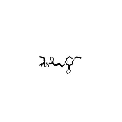 CCC(C)NC(=O)/C=C/CN1CCN(CC)CC1=O